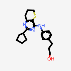 OCCCc1ccc(Nc2nc(C3CCCC3)nc3c2SCCC3)cc1